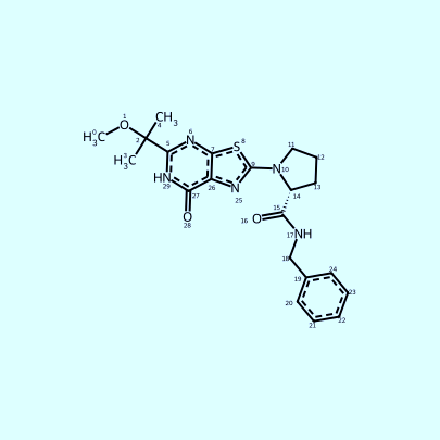 COC(C)(C)c1nc2sc(N3CCC[C@@H]3C(=O)NCc3ccccc3)nc2c(=O)[nH]1